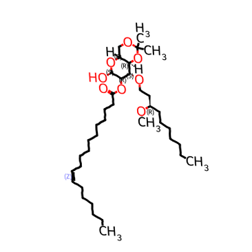 CCCCCC/C=C\CCCCCCCCCC(=O)O[C@@H]1[C@@H](OCC[C@@H](CCCCCCC)OC)[C@@H]2OC(C)(C)OC[C@H]2O[C@@H]1O